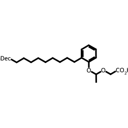 CCCCCCCCCCCCCCCCCCCc1ccccc1OC(C)OCC(=O)O